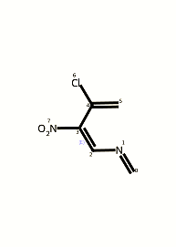 C=N/C=C(\C(=C)Cl)[N+](=O)[O-]